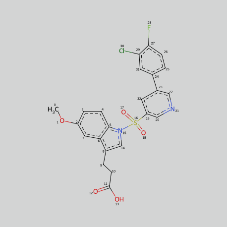 COc1ccc2c(c1)c(CCC(=O)O)cn2S(=O)(=O)c1cncc(-c2ccc(F)c(Cl)c2)c1